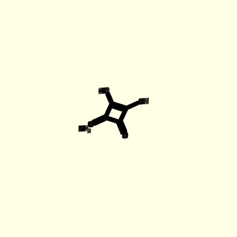 N.O=c1c(O)c(O)c1=O